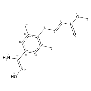 COC(=O)/C=C/Cc1c(C)cc(/C(N)=N/O)cc1C